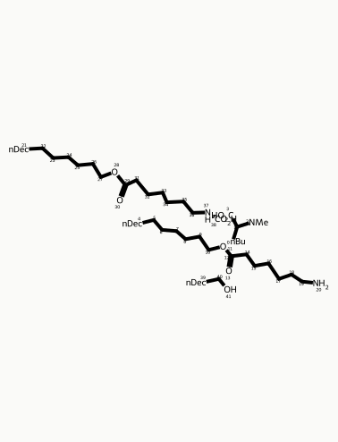 CCCCC(NC)C(=O)O.CCCCCCCCCCCCCCCCOC(=O)CCCCCCN.CCCCCCCCCCCCCCCCOC(=O)CCCCCCNC(=O)O.CCCCCCCCCCCO